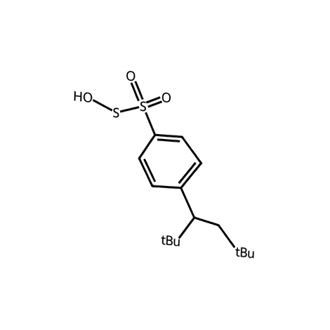 CC(C)(C)CC(c1ccc(S(=O)(=O)SO)cc1)C(C)(C)C